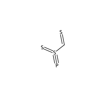 P#S(=S)C=S